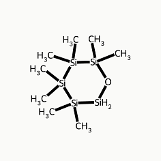 C[Si]1(C)O[SiH2][Si](C)(C)[Si](C)(C)[Si]1(C)C